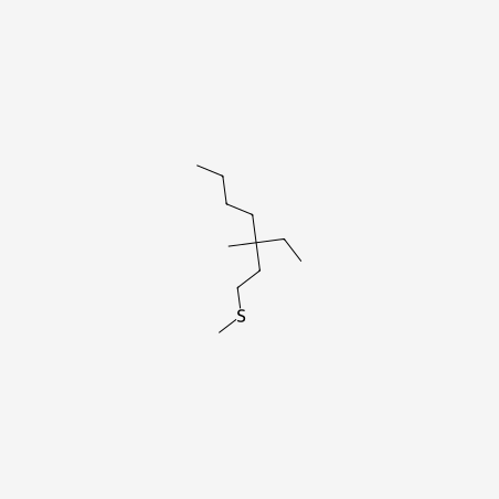 CCCCC(C)(CC)CCSC